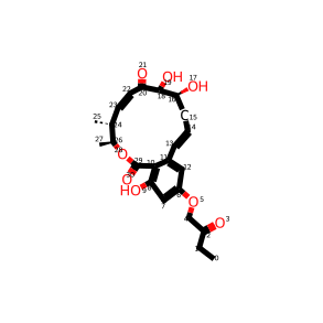 CCC(=O)COc1cc(O)c2c(c1)/C=C/C[C@H](O)C(O)C(=O)/C=C\[C@@H](C)[C@H](C)OC2=O